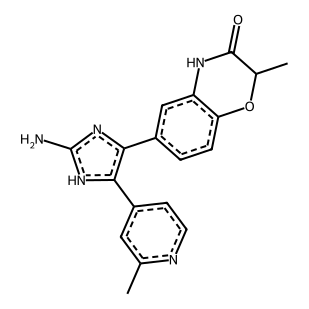 Cc1cc(-c2[nH]c(N)nc2-c2ccc3c(c2)NC(=O)C(C)O3)ccn1